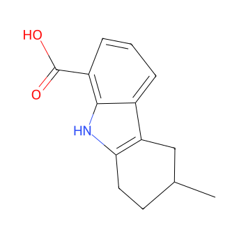 CC1CCc2[nH]c3c(C(=O)O)cccc3c2C1